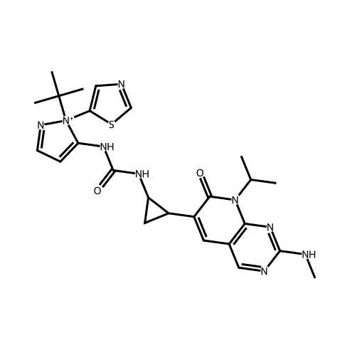 CNc1ncc2cc(C3CC3NC(=O)NC3=CC=N[N+]3(c3cncs3)C(C)(C)C)c(=O)n(C(C)C)c2n1